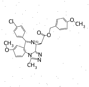 COc1ccc(COC(=O)C[C@@H]2N=C(c3ccc(Cl)cc3)c3cc(OC)ccc3-n3c(C)nnc32)cc1